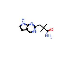 CC(C)(Cc1ncc2cc[nH]c2n1)C(N)=O